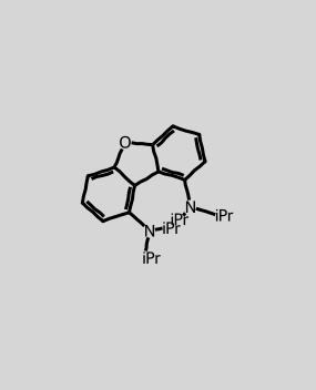 CC(C)N(c1cccc2oc3cccc(N(C(C)C)C(C)C)c3c12)C(C)C